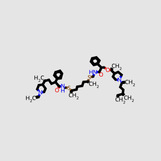 C=CC(=C)CCC(=C)N1CCC(C(=C)OCC(C(=O)NCSC(=C)CCCCC(=C)SCNC(=O)C(CCC(=C)C2CCN(C=C)CC2)c2ccccc2)c2ccccc2)CC1